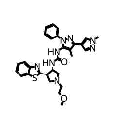 COCCN1C[C@@H](NC(=O)Nc2c(C)c(-c3cnn(C)c3)nn2-c2ccccc2)[C@H](c2nc3ccccc3s2)C1